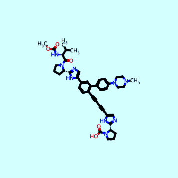 COC(=O)N[C@H](C(=O)N1CCC[C@H]1c1ncc(-c2ccc(C#CC#Cc3cnc([C@@H]4CCCN4C(=O)O)[nH]3)c(-c3ccc(N4CCN(C)CC4)cc3)c2)[nH]1)C(C)C